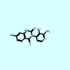 Nc1nccc(-n2c(=O)[nH]c3cc(Br)ccc3c2=O)c1Cl